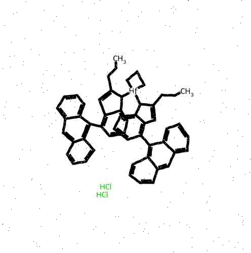 CCCC1=Cc2c(-c3c4ccccc4cc4ccccc34)cccc2[CH]1[Hf]1([CH]2C(CCC)=Cc3c(-c4c5ccccc5cc5ccccc45)cccc32)[CH2]C[CH2]1.Cl.Cl